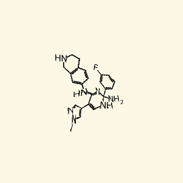 Cn1cc(C2=CNC(N)(c3cccc(F)c3)N=C2Nc2ccc3c(c2)CNCC3)cn1